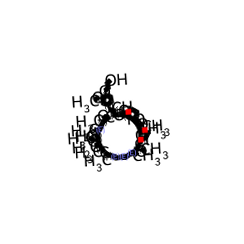 C=C1[C@H](C)C[C@@H](C)/C=C/C=C/C=C(\C)[C@H](OC)C[C@H]2CC[C@@H](C)[C@@](C)(O2)C(=O)C(=O)N2CCCC[C@H]2C(=O)O[C@@H]([C@@H](C)C[C@@H]2CC[C@H](OCCO)[C@H](OC)C2)CC(=O)[C@@H](C)/C=C(\C)[C@@H](O)[C@@H]1OC